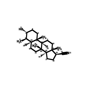 C[C@H]1[C@H](O)CC[C@]2(C)[C@H]3CC[C@]4(C)[C@@H](C#N)CC[C@@]4(I)[C@]3(C)CC[C@@H]12